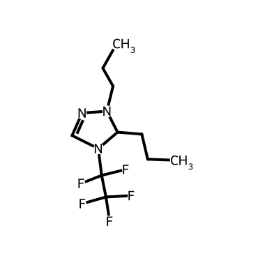 CCCC1N(CCC)N=CN1C(F)(F)C(F)(F)F